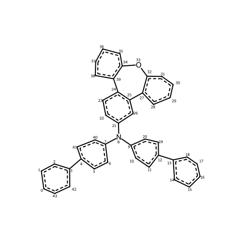 c1ccc(-c2ccc(N(c3ccc(-c4ccccc4)cc3)c3ccc4c(c3)-c3ccccc3Oc3ccccc3-4)cc2)cc1